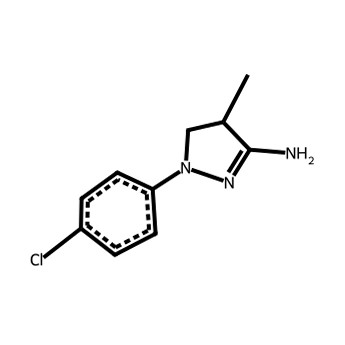 CC1CN(c2ccc(Cl)cc2)N=C1N